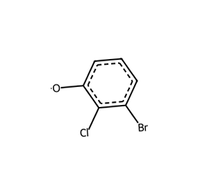 [O]c1cccc(Br)c1Cl